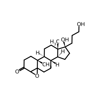 C[C@]12CC[C@H]3[C@@H](CCC45OC4C(=O)CC[C@]35C)[C@@H]1CC[C@@]2(O)CCCO